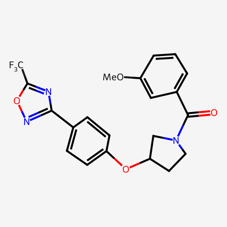 COc1cccc(C(=O)N2CCC(Oc3ccc(-c4noc(C(F)(F)F)n4)cc3)C2)c1